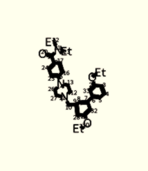 CCOc1cccc(-c2cc(CN3CCN(c4ccc(C(=O)N(CC)CC)cc4)CC3)cc(OCC)c2)c1